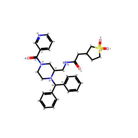 O=C(CC1CCS(=O)(=O)C1)NCC1CN(C(=O)c2cccnc2)CCN1C(c1ccccc1)c1ccccc1